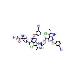 CCc1[nH]c2nc(Oc3cccc(C#N)c3)nc(C(C)N3CC4C(C3)C4NC(C)c3[nH]c4nc(Oc5cccc(C#N)c5)nc(C(C)N5CC6C(C5)C6(N)C(N)=O)c4c3Cl)c2c1Cl